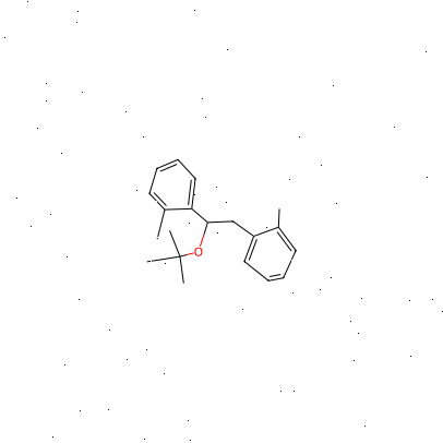 Cc1ccccc1CC(OC(C)(C)C)c1ccccc1C